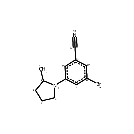 CC1CCCN1c1cc(Br)cc(C#N)c1